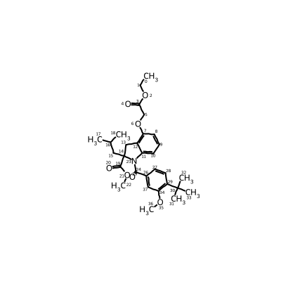 CCOC(=O)COc1cccc2c1CC(CC(C)C)(C(=O)OC)N2C(=O)c1ccc(C(C)(C)C)c(OC)c1